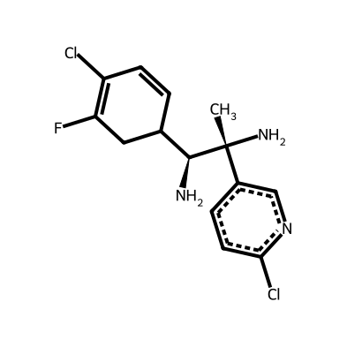 C[C@@](N)(c1ccc(Cl)nc1)[C@@H](N)C1C=CC(Cl)=C(F)C1